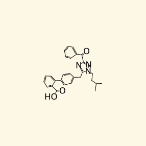 CC(C)CCn1nc(C(=O)c2ccccc2)nc1Cc1ccc(-c2ccccc2C(=O)O)cc1